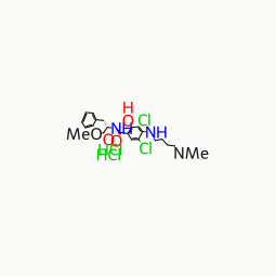 CNCCCCNc1c(Cl)cc(C(=O)N[C@@H](Cc2ccccc2)C(=O)OC)c(O)c1Cl.Cl.Cl